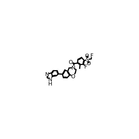 Cc1c(C(=O)N2CCOc3ccc(-c4ccc5nc[nH]c5c4)cc3C2)ccc(S(=O)(=O)CF)c1F